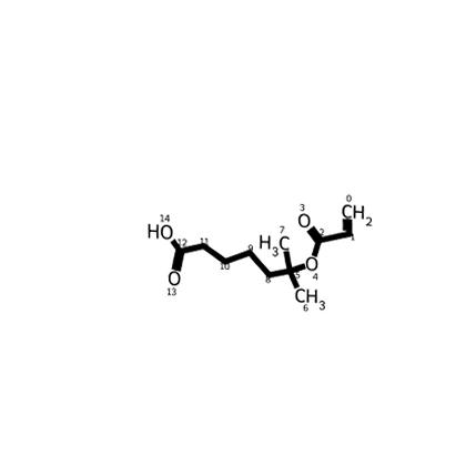 C=CC(=O)OC(C)(C)CCCCC(=O)O